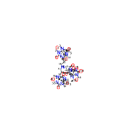 C[C@]12N3COCN1C(=O)N1COCN(C3=O)[C@]12CCCCN(CCCC[C@]12N3COCN1C(=O)N1COCN(C3=O)[C@]12C)CCCC[C@]12N3COCN1C(=O)N1COCN(C3=O)[C@]12O